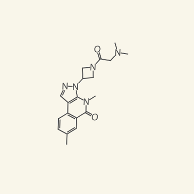 Cc1ccc2c(c1)c(=O)n(C)c1c2cnn1C1CN(C(=O)CN(C)C)C1